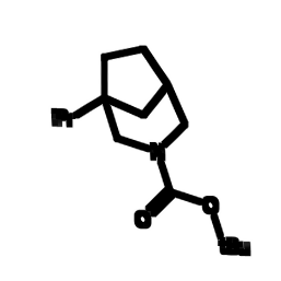 CC(C)C12CCC(CN(C(=O)OC(C)(C)C)C1)C2